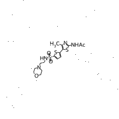 CC(=O)Nc1nc(C)c(-c2ccc(S(=O)(=O)NCCN3CCOCC3)s2)s1